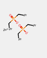 CC(C)CP(=O)([O-])CC(C)C.CC(C)CP(=O)([O-])CC(C)C.[Zn+2]